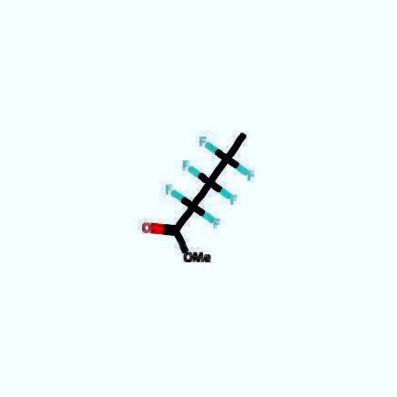 COC(=O)C(F)(F)C(F)(F)C(C)(F)F